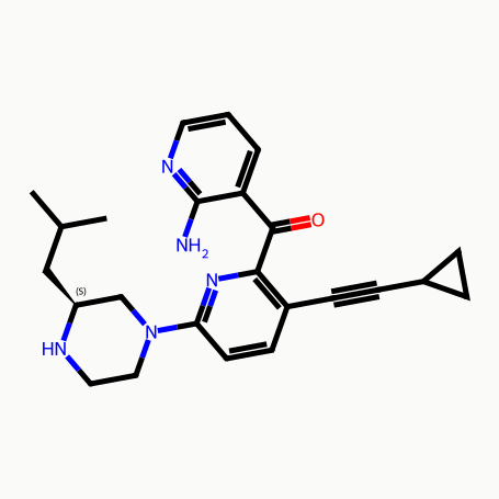 CC(C)C[C@H]1CN(c2ccc(C#CC3CC3)c(C(=O)c3cccnc3N)n2)CCN1